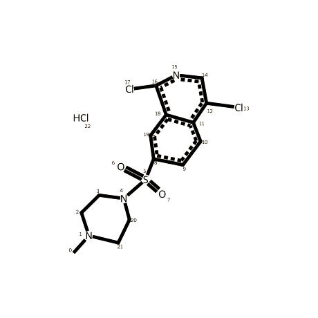 CN1CCN(S(=O)(=O)c2ccc3c(Cl)cnc(Cl)c3c2)CC1.Cl